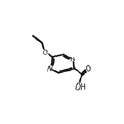 CCOc1cnc(C(=O)O)cn1